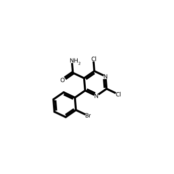 NC(=O)c1c(Cl)nc(Cl)nc1-c1ccccc1Br